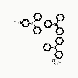 [Cl-].[Cl-].[Cl-].[Rh+3].c1cc[c]([Sb]([c]2ccccc2)[c]2ccccc2)cc1.c1cc[c]([Sb]([c]2ccccc2)[c]2ccccc2)cc1.c1cc[c]([Sb]([c]2ccccc2)[c]2ccccc2)cc1